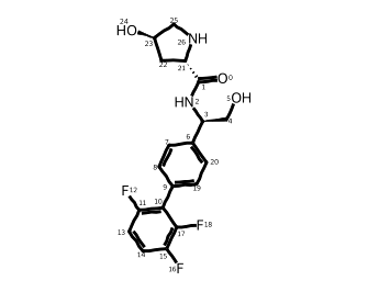 O=C(N[C@@H](CO)c1ccc(-c2c(F)ccc(F)c2F)cc1)[C@@H]1C[C@@H](O)CN1